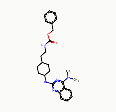 CN(C)c1nc(NC2CCC(CCNC(=O)OCc3ccccc3)CC2)nc2ccccc12